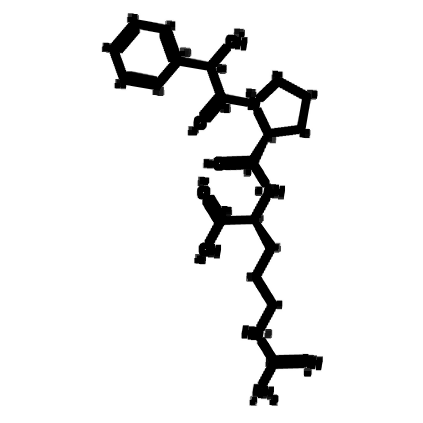 N=C(N)NCCC[C@H](NC(=O)[C@@H]1CCCN1C(=O)C(O)c1ccccc1)C(=O)O